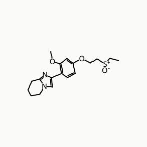 CC[S+]([O-])CCOc1ccc(-c2cn3c(n2)CCCC3)c(OC)c1